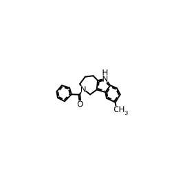 Cc1ccc2[nH]c3c(c2c1)CN(C(=O)c1ccccc1)CCC3